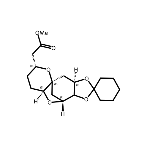 COC(=O)C[C@H]1CC[C@@H]2O[C@@H]3C[C@]2(C[C@H]2OC4(CCCCC4)OC32)O1